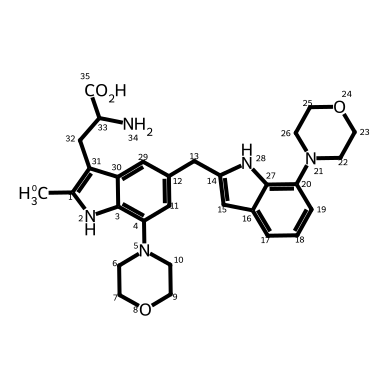 Cc1[nH]c2c(N3CCOCC3)cc(Cc3cc4cccc(N5CCOCC5)c4[nH]3)cc2c1CC(N)C(=O)O